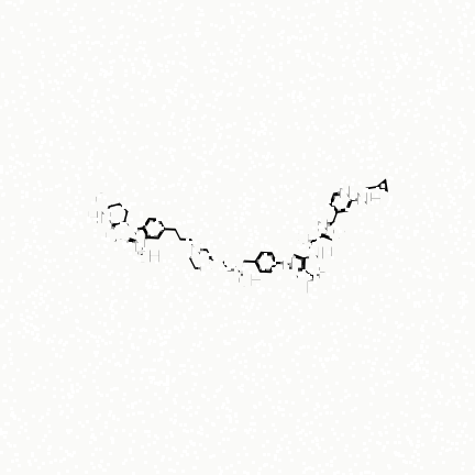 CN(CC[C@H]1CN(CCCc2ccc3c(c2)n(C)c(=O)n3C2CCC(=O)NC2=O)CCO1)Cc1ccc(-n2cc(NC(=O)c3coc(-c4ccnc(NCC5CC5)c4)n3)c(C(F)F)n2)cc1